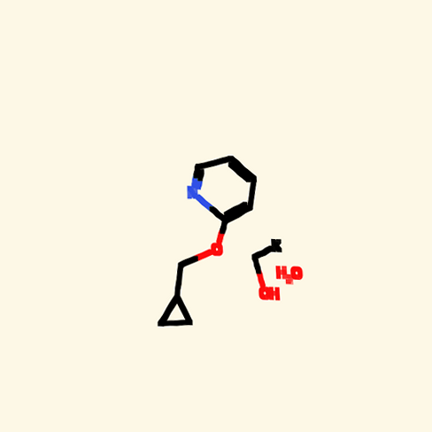 O.O[CH2][K].c1ccc(OCC2CC2)nc1